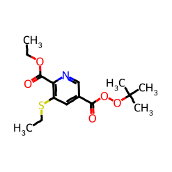 CCOC(=O)c1ncc(C(=O)OOC(C)(C)C)cc1SCC